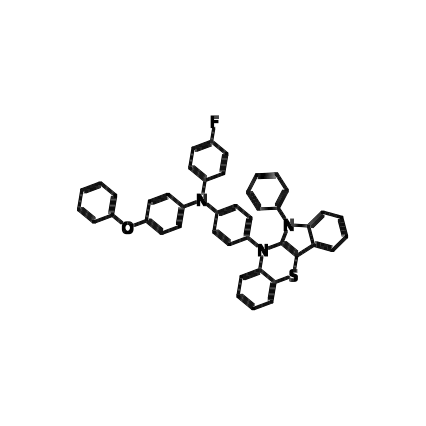 Fc1ccc(N(c2ccc(Oc3ccccc3)cc2)c2ccc(N3c4ccccc4Sc4c3n(-c3ccccc3)c3ccccc43)cc2)cc1